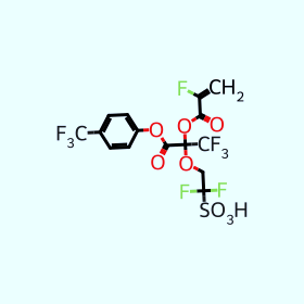 C=C(F)C(=O)OC(OCC(F)(F)S(=O)(=O)O)(C(=O)Oc1ccc(C(F)(F)F)cc1)C(F)(F)F